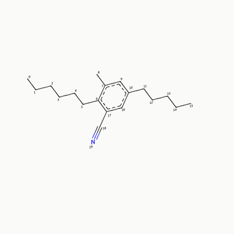 CCCCCCc1c(C)cc(CCCCC)cc1C#N